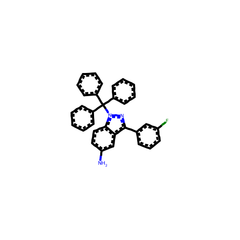 Nc1ccc2c(c1)c(-c1cccc(F)c1)nn2C(c1ccccc1)(c1ccccc1)c1ccccc1